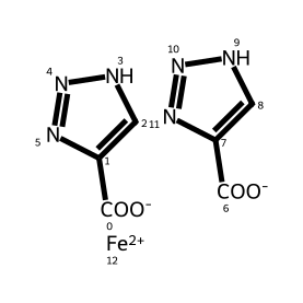 O=C([O-])c1c[nH]nn1.O=C([O-])c1c[nH]nn1.[Fe+2]